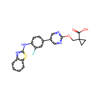 O=C(O)C1(COc2ncc(-c3ccc(Nc4nc5ccccc5s4)c(F)c3)cn2)CC1